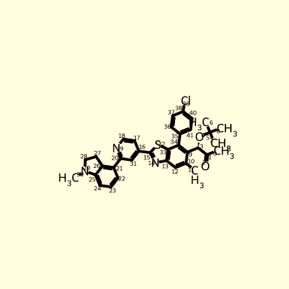 CC(=O)[C@@H](OC(C)(C)C)c1c(C)cc2nc(-c3ccnc(-c4cccc5c4CCN5C)c3)sc2c1-c1ccc(Cl)cc1